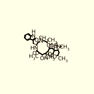 C[C@H]1CN(C)C(=O)[C@H](Cc2c[nH]c3ccccc23)NC(=O)[C@H](C)[C@@H](O)[C@H](C)[C@H]2O[C@@H]3O[C@H](C)C[C@H](N(C)C)[C@H]3C[C@@]2(O)C1